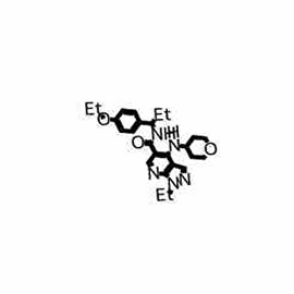 CCOc1ccc(C(CC)NC(=O)c2cnc3c(cnn3CC)c2NC2CCOCC2)cc1